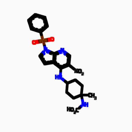 CC1(NC(=O)O)CCC(Nc2c([N+](=O)[O-])cnc3c2ccn3S(=O)(=O)c2ccccc2)CC1